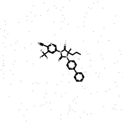 CCCC1(C)C(=O)N(c2cnc(C#N)c(C(F)(F)F)c2)C(=S)N1c1ccc(-c2ccccc2)cc1